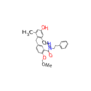 COCOc1ccc(Cc2c(C)cc(O)cc2C)cc1C(=O)NCCc1ccccc1